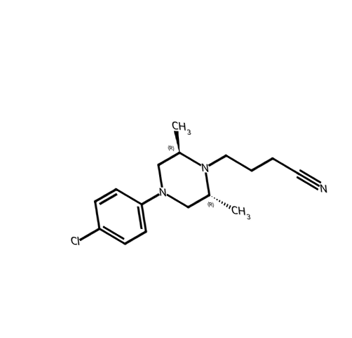 C[C@@H]1CN(c2ccc(Cl)cc2)C[C@@H](C)N1CCCC#N